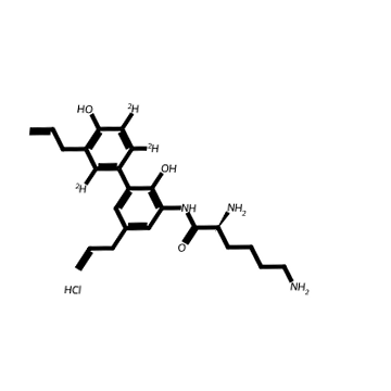 Cl.[2H]c1c([2H])c(-c2cc(CC=C)cc(NC(=O)[C@@H](N)CCCCN)c2O)c([2H])c(CC=C)c1O